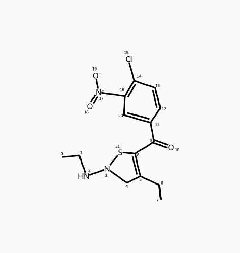 CCNN1CC(CC)=C(C(=O)c2ccc(Cl)c([N+](=O)[O-])c2)S1